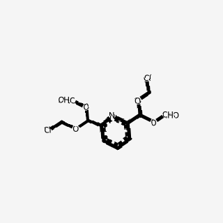 O=COC(OCCl)c1cccc(C(OC=O)OCCl)n1